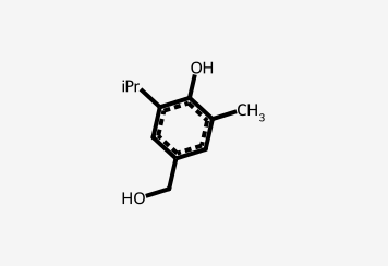 Cc1cc(CO)cc(C(C)C)c1O